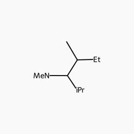 CCC(C)C(NC)C(C)C